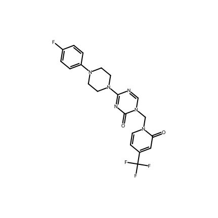 O=c1cc(C(F)(F)F)ccn1Cn1cnc(N2CCN(c3ccc(F)cc3)CC2)nc1=O